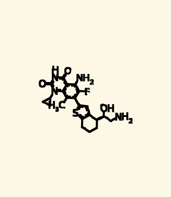 Cc1c(-c2cc3c(s2)CCCC3C(O)CN)c(F)c(N)c2c(=O)[nH]c(=O)n(C3CC3)c12